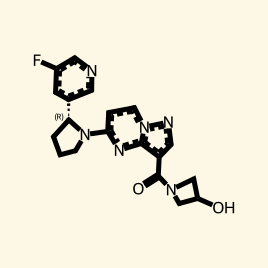 O=C(c1cnn2ccc(N3CCC[C@@H]3c3cncc(F)c3)nc12)N1CC(O)C1